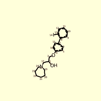 OC(COc1ccc(-c2ccccc2I)cc1)CN1CCCCCC1